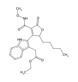 CCCCCC1OC(=O)C(C(=O)NOC)=C1c1[nH]c2ccccc2c1CC(=O)OCC